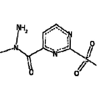 CN(N)C(=O)c1ccnc(S(C)(=O)=O)n1